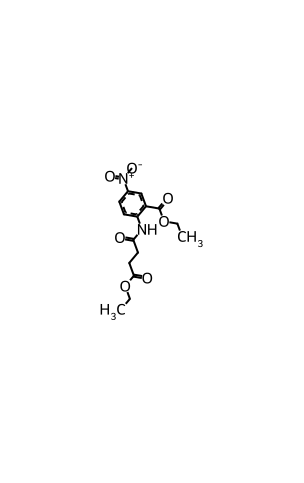 CCOC(=O)CCC(=O)Nc1ccc([N+](=O)[O-])cc1C(=O)OCC